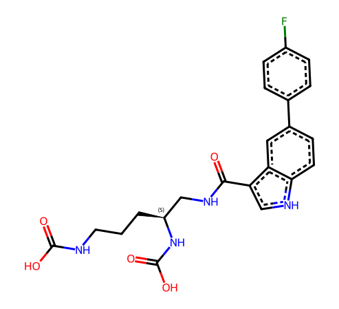 O=C(O)NCCC[C@@H](CNC(=O)c1c[nH]c2ccc(-c3ccc(F)cc3)cc12)NC(=O)O